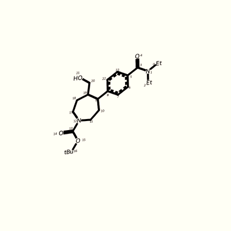 CCN(CC)C(=O)c1ccc(C2CCN(C(=O)OC(C)(C)C)CCC2CO)cc1